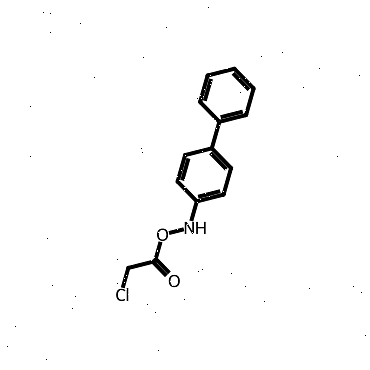 O=C(CCl)ONc1ccc(-c2ccccc2)cc1